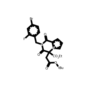 CCOC(=O)C1(CC(=O)OC(C)(C)C)C(=O)N(Cc2ccc(Br)cc2F)C(=O)c2cccn21